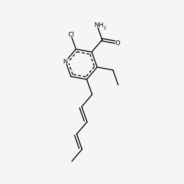 CC=CC=CCc1cnc(Cl)c(C(N)=O)c1CC